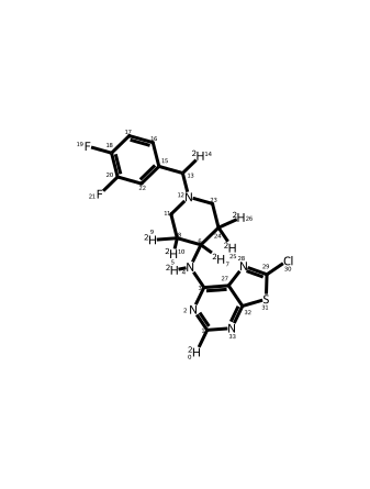 [2H]c1nc(N([2H])C2([2H])C([2H])([2H])CN(C([2H])c3ccc(F)c(F)c3)CC2([2H])[2H])c2nc(Cl)sc2n1